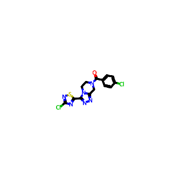 O=C(c1ccc(Cl)cc1)N1CCn2c(nnc2-c2nc(Cl)ns2)C1